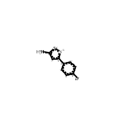 Nc1cc(-c2ccc(F)cc2)ns1